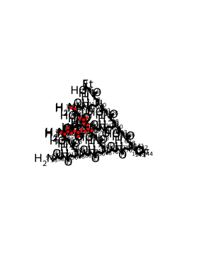 CCC(O)CNC(=O)CCN(CCC(=O)NCC(O)CN)CC(O)CNC(=O)CCN(CCC(=O)NCC(O)CN(CCC(=O)NCC(O)CN)CCC(=O)NCC(O)CN)CC(O)CNC(=O)CCN(CCC(=O)NCC(O)CN(CCC(=O)NCC(O)CN(CCC(=O)NCC(O)CN)CCC(=O)NCC(O)CN)CCC(=O)NCC(O)CN(CCC(=O)NCC(O)CN)CCC(=O)NCC(O)CN)c1ccc(F)cc1